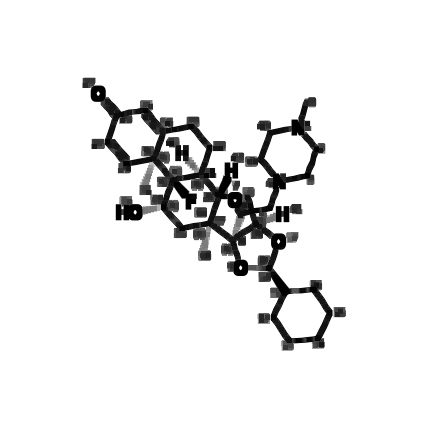 CN1CCN(CC(=O)[C@@]23O[C@H](C4CCCCC4)O[C@@H]2C[C@H]2[C@@H]4CCC5=CC(=O)C=C[C@]5(C)[C@@]4(F)[C@@H](O)C[C@@]23C)CC1